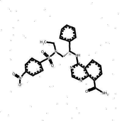 CCN(C[C@@H](Nc1ncnc2c(C(N)=O)cccc12)c1ccccc1)S(=O)(=O)c1ccc([N+](=O)[O-])cc1